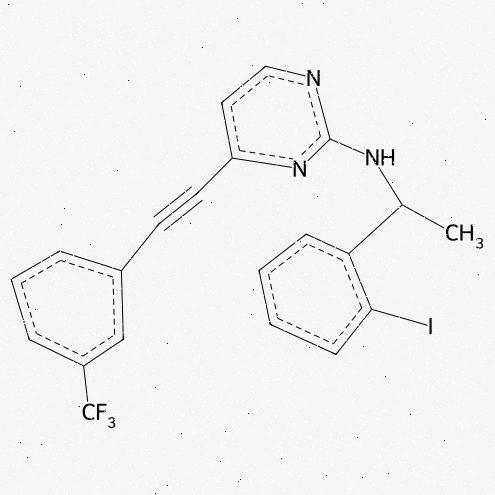 CC(Nc1nccc(C#Cc2cccc(C(F)(F)F)c2)n1)c1ccccc1I